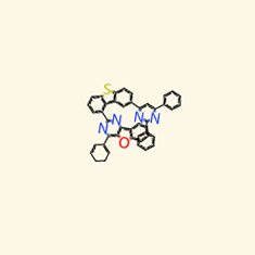 C1=CC(c2nc(-c3cccc4sc5ccc(-c6cc(-c7ccccc7)nc(-c7ccccc7)n6)cc5c34)nc3c2oc2ccccc23)=CCC1